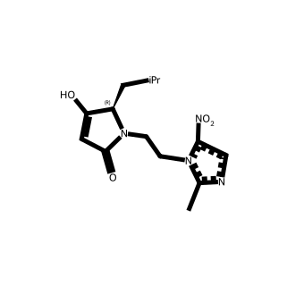 Cc1ncc([N+](=O)[O-])n1CCN1C(=O)C=C(O)[C@H]1CC(C)C